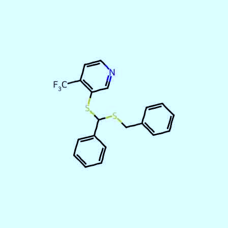 FC(F)(F)c1ccncc1SC(SCc1ccccc1)c1ccccc1